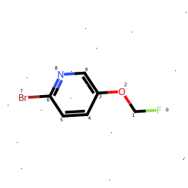 FCOc1ccc(Br)nc1